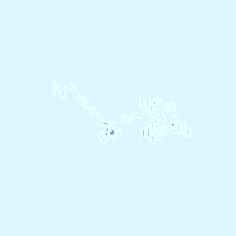 CCCCCCCC/C=C(\CCCCCCCC1=C(C)C(=O)C(OC)=C(OC)C1=O)[N+](=O)[O-]